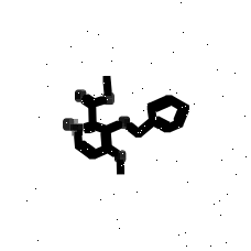 COC(=O)c1c(OCc2ccccc2)c(OC)cc[n+]1[O-]